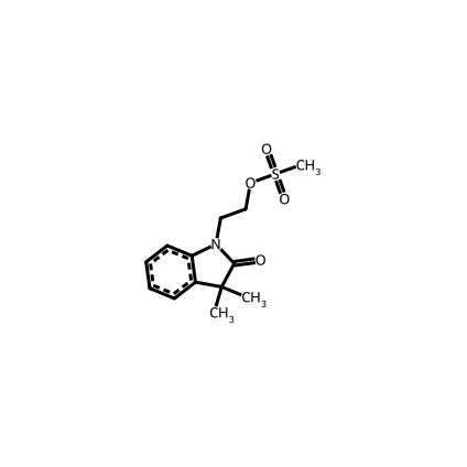 CC1(C)C(=O)N(CCOS(C)(=O)=O)c2ccccc21